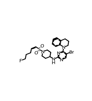 O=S(=O)(/C=C\CCCF)N1CCC(Nc2ncc(Br)c(N3CCCc4c#cccc43)n2)CC1